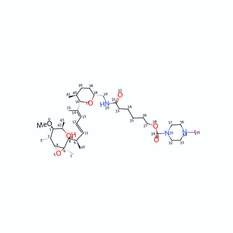 CO[C@H]([C@@H](C)[C@H]1O[C@]1(C)C[C@H](C)/C=C/C=C(\C)[C@H]1O[C@@H](CNC(=O)CCCCCOC(=O)N2CCN(I)CC2)CC[C@@H]1C)[C@@H](C)O